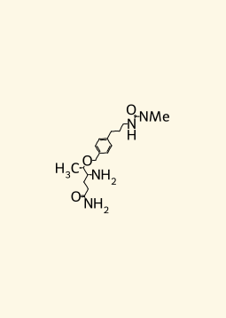 CNC(=O)NCCCc1ccc(CO[C@H](C)[C@@H](N)CCC(N)=O)cc1